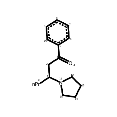 CCCC(CC(=O)c1ccccc1)N1CCCC1